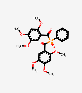 COc1cc(OC)c(C(=O)P(=O)(C(=O)c2cc(OC)c(OC)cc2OC)c2ccccc2)cc1OC